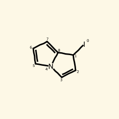 IC1C=Cn2cccc21